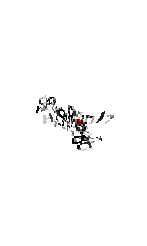 Cc1cc(Oc2cccc(Cl)c2C#N)ccc1Oc1cccc(Oc2ccc(Oc3cccc(Cl)c3C#N)c(C)c2C)c1C#N